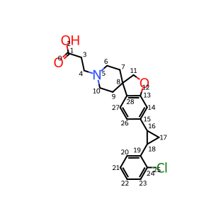 O=C(O)CCN1CCC2(CC1)COc1cc(C3CC3c3ccccc3Cl)ccc12